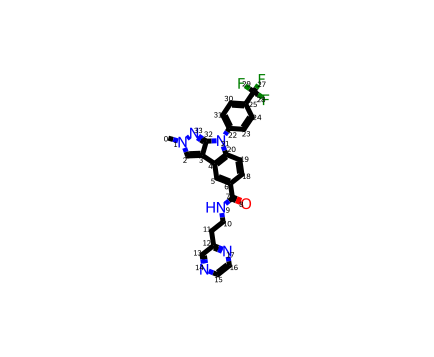 Cn1cc2c3cc(C(=O)NCCc4cnccn4)ccc3n(-c3ccc(C(F)(F)F)cc3)c2n1